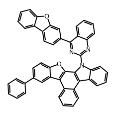 c1ccc(-c2ccc3oc4c(c3c2)c2ccccc2c2c3ccccc3n(-c3nc(-c5ccc6c(c5)oc5ccccc56)c5ccccc5n3)c42)cc1